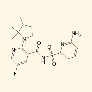 CC1CCN(c2ncc(F)cc2C(=O)NS(=O)(=O)c2cccc(N)n2)C1(C)C